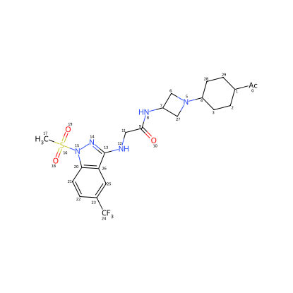 CC(=O)C1CCC(N2CC(NC(=O)CNc3nn(S(C)(=O)=O)c4ccc(C(F)(F)F)cc34)C2)CC1